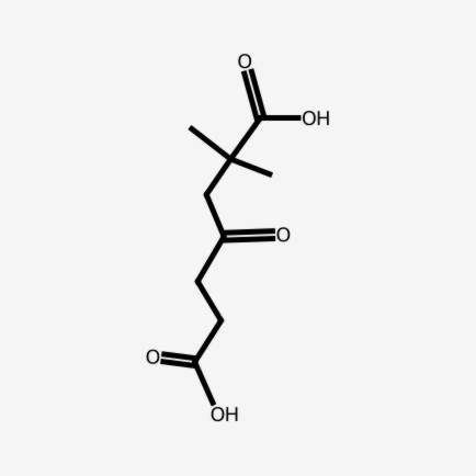 CC(C)(CC(=O)CCC(=O)O)C(=O)O